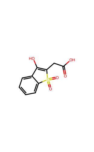 O=C(O)CC1=C(O)c2ccccc2S1(=O)=O